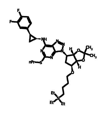 CCCSc1nc(N[C@@H]2C[C@H]2c2ccc(F)c(F)c2)c2nnn([C@@H]3C[C@H](OCCCC[Si](CC)(CC)CC)[C@H]4OC(C)(C)O[C@H]43)c2n1